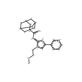 COCCn1cc(-c2cccnc2)sc1=NC(=O)C12CC3CC(CC(C3)C1)C2